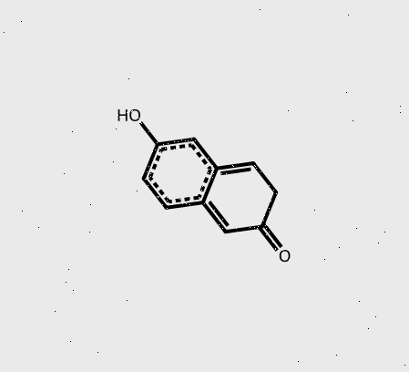 O=C1C=c2ccc(O)cc2=CC1